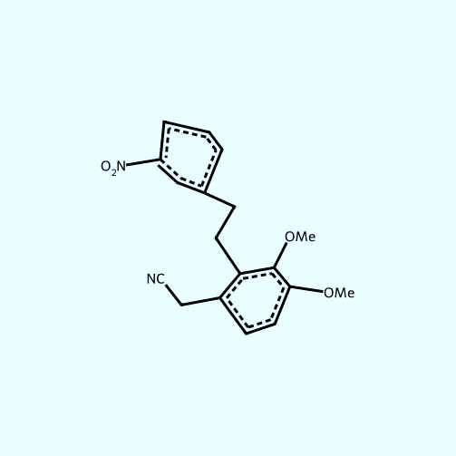 COc1ccc(CC#N)c(CCc2cccc([N+](=O)[O-])c2)c1OC